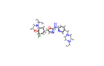 CCN1CCN(Cc2ccc(Nc3ncc(-c4cc(F)c5c(c4)N(C(C)C)CCO5)o3)nc2)CC1